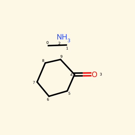 CC.N.O=C1CCCCC1